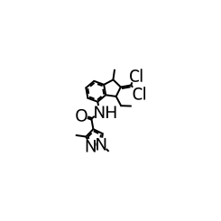 CCC1C(=C(Cl)Cl)C(C)c2cccc(NC(=O)c3cn(C)nc3C)c21